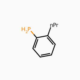 CCCc1ccccc1P